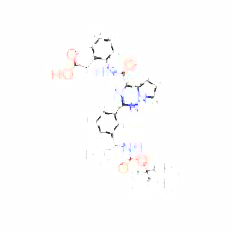 CC(NC(=O)OC(C)(C)C)c1cccc(-c2nc(C(=O)Nc3ccccc3CC(=O)O)c3cccn3n2)c1